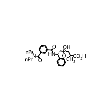 CCCN(CCC)C(=O)c1cccc(C(=O)N[C@H](CP(=O)(O)CC(C)C(=O)O)c2ccccc2)c1